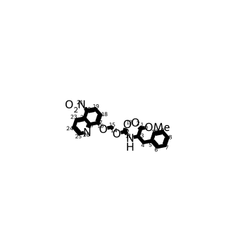 COC(=O)C(Cc1ccccc1)NC(=O)OCOc1ccc([N+](=O)[O-])c2cccnc12